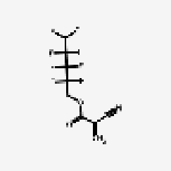 C=C(C#N)C(=O)OCC(F)(F)C(F)(F)C(F)(F)C(F)F